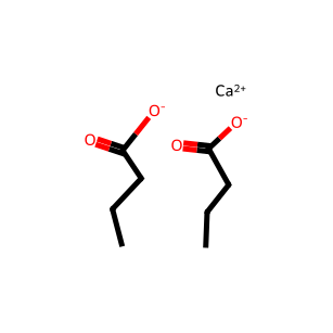 CCCC(=O)[O-].CCCC(=O)[O-].[Ca+2]